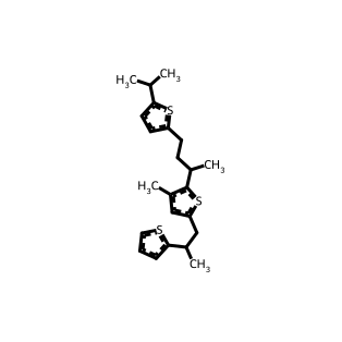 Cc1cc(CC(C)c2cccs2)sc1C(C)CCc1ccc(C(C)C)s1